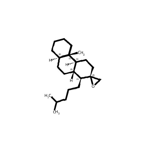 CC(C)CCC[C@H]1[C@@H]2CC[C@H]3CCCC[C@]3(C)[C@H]2CC[C@]12CO2